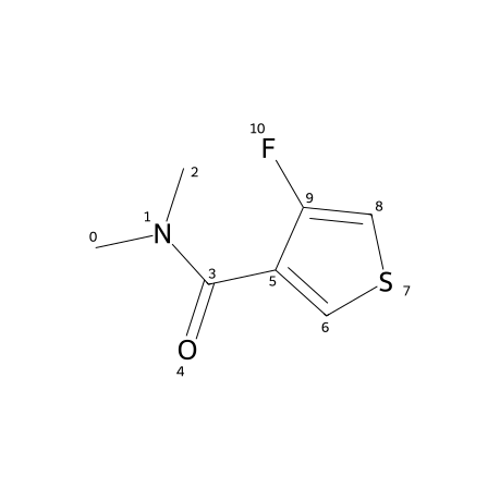 CN(C)C(=O)c1cscc1F